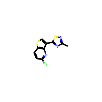 Cc1nsc(-c2csc3ccc(Cl)nc23)n1